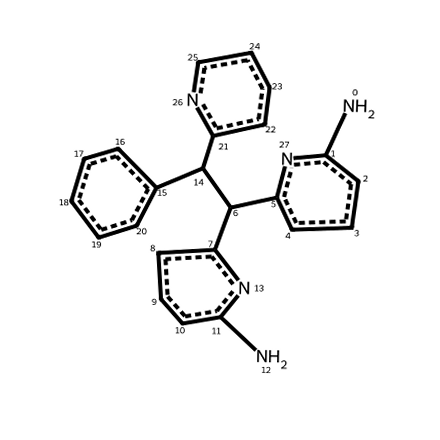 Nc1cccc(C(c2cccc(N)n2)C(c2ccccc2)c2ccccn2)n1